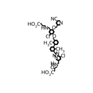 Cc1c(COc2cc(OCc3cncc(C#N)c3)c(CNCCCC(=O)O)cc2Cl)cccc1-c1cccc(-c2nc3c(Cl)cc(CNC[C@@H](O)CC(=O)O)cn3n2)c1C